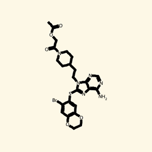 CC(=O)OCC(=O)N1CCC(CCn2c(Sc3cc4c(cc3Br)OCCO4)nc3c(N)ncnc32)CC1